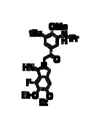 CCOc1cc2c(c(F)c1OCC)C(=N)N(CC(=O)c1cc(NC(C)C)c(OC)c(C(C)(C)C)c1)C2